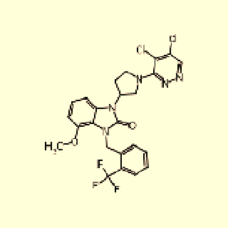 COc1cccc2c1n(Cc1ccccc1C(F)(F)F)c(=O)n2C1CCN(c2nncc(Cl)c2Cl)C1